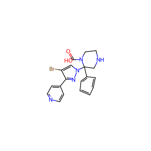 O=C(O)N1CCNCC1(c1ccccc1)n1cc(Br)c(-c2ccncc2)n1